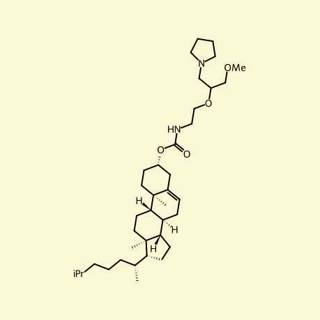 COCC(CN1CCCC1)OCCNC(=O)O[C@H]1CC[C@@]2(C)C(=CC[C@H]3[C@@H]4CC[C@H]([C@H](C)CCCC(C)C)[C@@]4(C)CC[C@@H]32)C1